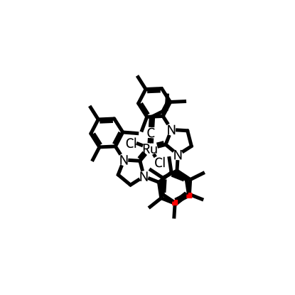 CCC=[C]=[Ru]([Cl])([Cl])(=[C]1N(c2c(C)cc(C)cc2C)CCN1c1c(C)cc(C)cc1C)=[C]1N(c2c(C)cc(C)cc2C)CCN1c1c(C)cc(C)cc1C